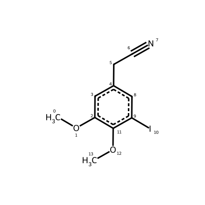 COc1cc(CC#N)cc(I)c1OC